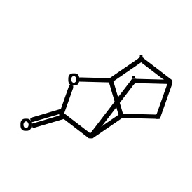 O=C1OC2[CH]C3[CH]C1C2C3